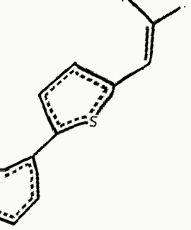 [CH2]/C(F)=C/c1ccc(-c2cccs2)s1